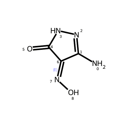 NC1=NNC(=O)/C1=N/O